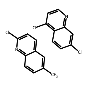 Clc1ccc2c(Cl)ccnc2c1.FC(F)(F)c1ccc2nc(Cl)ccc2c1